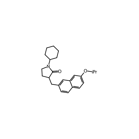 CC(C)Oc1ccc2ccc(CC3CCN(C4CCCCC4)C3=O)cc2c1